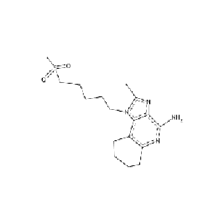 Cc1nc2c(N)nc3c(c2n1CCCCCS(C)(=O)=O)CCCC3